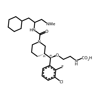 CNCC(CC1CCCCC1)NC(=O)N1CCC[C@@H]([C@@H](OCCNC(=O)O)c2cccc(Cl)c2F)C1